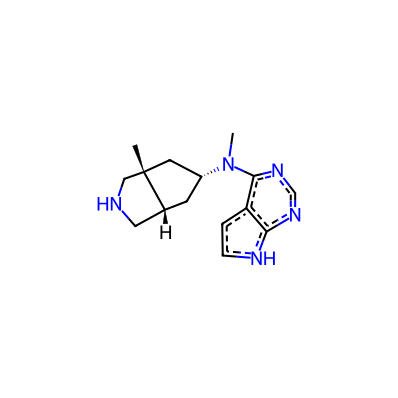 CN(c1ncnc2[nH]ccc12)[C@@H]1C[C@@H]2CNC[C@]2(C)C1